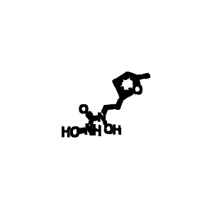 Cc1ccc(CCN(O)C(=O)NO)o1